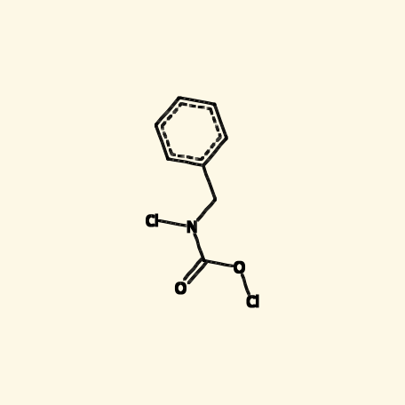 O=C(OCl)N(Cl)Cc1ccccc1